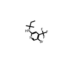 CCC(C)(C)Nc1cc(C(F)(F)F)c(Br)cn1